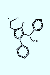 C[C@H](O)Cc1nn(-c2ccccc2)c(N(C(=O)O)c2ccccc2)c1Cl